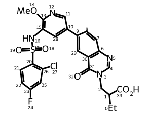 CCC(Cn1cnc2ccc(-c3cnc(OC)c(NS(=O)(=O)c4ccc(F)cc4Cl)c3)cc2c1=O)C(=O)O